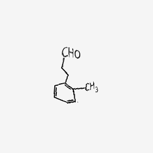 Cc1[c]cccc1CCC=O